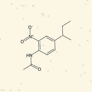 CCC(C)c1ccc(NC(C)=O)c([N+](=O)[O-])c1